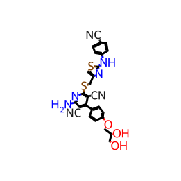 N#Cc1ccc(Nc2nc(CSc3nc(N)c(C#N)c(-c4ccc(OCC(O)CO)cc4)c3C#N)cs2)cc1